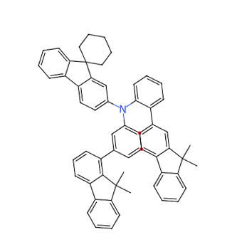 CC1(C)c2ccccc2-c2ccc(-c3ccccc3N(c3cccc(-c4cccc5c4C(C)(C)c4ccccc4-5)c3)c3ccc4c(c3)C3(CCCCC3)c3ccccc3-4)cc21